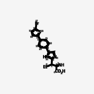 CCC(C(=N)C(=O)O)c1ncc(-c2ccc(-c3ccc(Br)s3)cc2)[nH]1